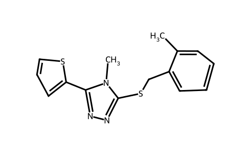 Cc1ccccc1CSc1nnc(-c2cccs2)n1C